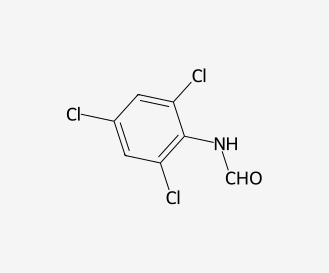 O=CNc1c(Cl)cc(Cl)cc1Cl